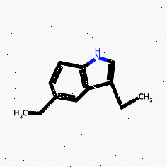 CCc1ccc2[nH]cc(CC)c2c1